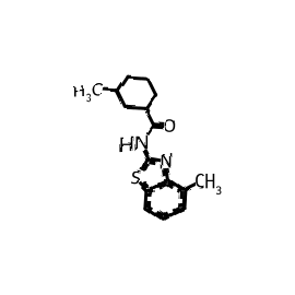 Cc1cccc2sc(NC(=O)C3CCCC(C)C3)nc12